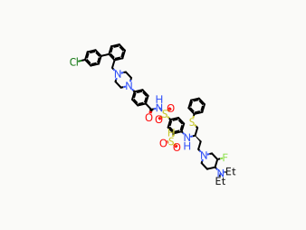 CCN(CC)C1CCN(CC[C@H](CSc2ccccc2)Nc2ccc(S(=O)(=O)NC(=O)c3ccc(N4CCN(Cc5ccccc5-c5ccc(Cl)cc5)CC4)cc3)cc2[SH](=O)=O)CC1F